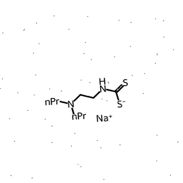 CCCN(CCC)CCNC(=S)[S-].[Na+]